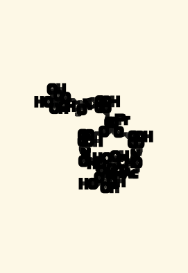 CC(=O)N[C@H]1C(O)[C@@H](O)C(CO)O[C@H]1OCCCCC(=O)N1CCC(OP(=O)(O)OCCCOCC(COCCCOP(=O)(O)OC2CCN(C(=O)CCCCO[C@@H]3OC(CO)[C@H](O)C(O)[C@@H]3C)CC2)(COCCCOP(=O)(O)OC2CCN(C(=O)CCCCO[C@@H]3OC(CO)[C@H](O)C(O)[C@@H]3C)CC2)COC(C)C)CC1